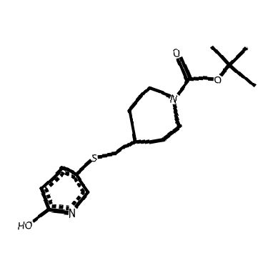 CC(C)(C)OC(=O)N1CCC(CSc2ccc(O)nc2)CC1